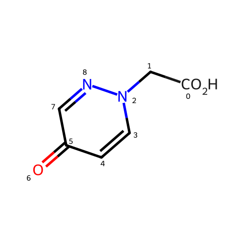 O=C(O)Cn1ccc(=O)cn1